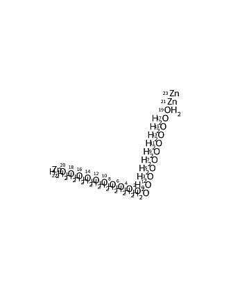 O.O.O.O.O.O.O.O.O.O.O.O.O.O.O.O.O.O.O.O.O.[Zn].[Zn].[Zn]